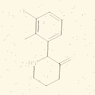 O=C1CCCNC1c1cccc(Cl)c1F